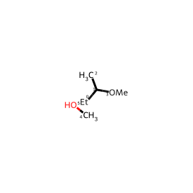 CCC(C)OC.CO